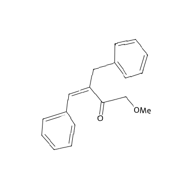 COCC(=O)C(=Cc1ccccc1)Cc1ccccc1